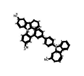 N#CC1=Cc2c(c3ccccc3n2-c2ccc(-c3cccc(-c4cc(C#N)ccc4-n4c5c(c6c4C=CC(C#N)C6)CCC=C5)c3)cc2)C#CC1